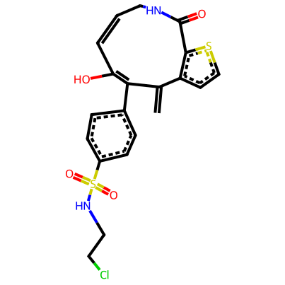 C=C1/C(c2ccc(S(=O)(=O)NCCCl)cc2)=C(O)\C=C/CNC(=O)c2sccc21